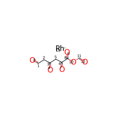 O=CCC(=O)CC(=O)C(=O)OC=O.[Rh]